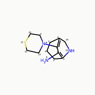 NC1=C2CCCC(=C1N1CCSCC1)CN2